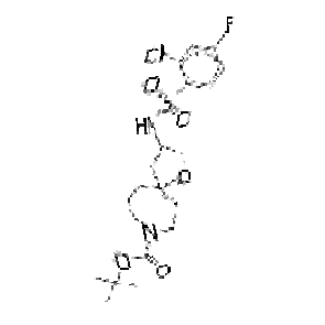 CC(C)(C)OC(=O)N1CCC2(CC1)C[C@@H](NS(=O)(=O)c1ccc(F)cc1Cl)CO2